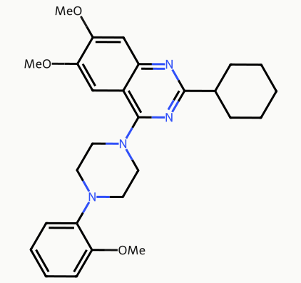 COc1cc2nc(C3CCCCC3)nc(N3CCN(c4ccccc4OC)CC3)c2cc1OC